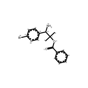 CC(C)(OC(=O)c1ccccc1)C(N)c1ccc(Br)nc1